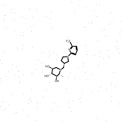 C[C@@H]1[C@@H](O)[C@H](O)[C@@H](O)CN1C[C@H]1CCN(c2cccc(C(F)(F)F)n2)C1